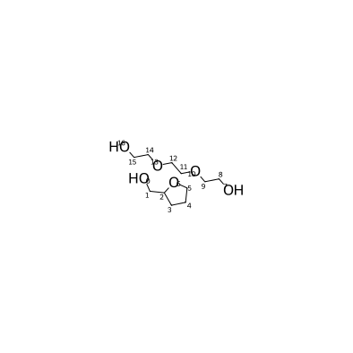 OCC1CCCO1.OCCOCCOCCO